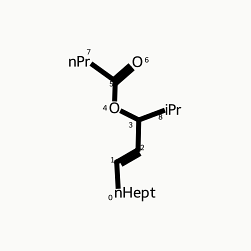 CCCCCCCC=CC(OC(=O)CCC)C(C)C